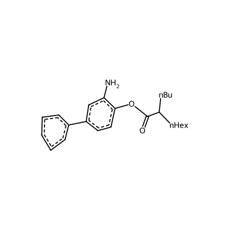 CCCCCCC(CCCC)C(=O)Oc1ccc(-c2ccccc2)cc1N